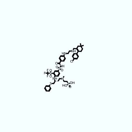 CN(CC[C@H](CSc1ccccc1)Nc1ccc(S(=O)(=O)NC(=O)c2ccc(NCCNCC3=C(c4ccc(Cl)cc4)CCC(C)(C)C3)cc2)cc1S(=O)(=O)C(F)(F)F)CCP(=O)(O)O